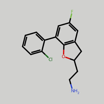 NCCC1Cc2cc(F)cc(-c3ccccc3Cl)c2O1